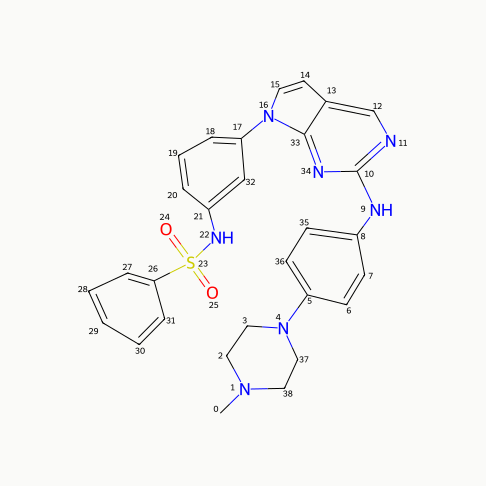 CN1CCN(c2ccc(Nc3ncc4ccn(-c5cccc(NS(=O)(=O)c6ccccc6)c5)c4n3)cc2)CC1